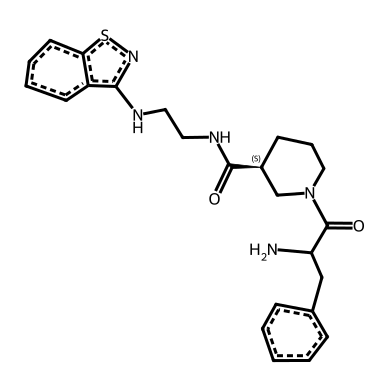 NC(Cc1ccccc1)C(=O)N1CCC[C@H](C(=O)NCCNc2nsc3ccccc23)C1